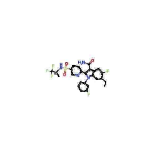 CCc1cc2c(cc1F)c(C(N)=O)c(-c1ccc(S(=O)(=O)N[C@@H](C)C(F)(F)F)cn1)n2-c1cccc(F)c1